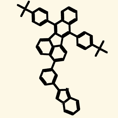 C[Si](C)(C)c1ccc(-c2c3c(c(-c4ccc([Si](C)(C)C)cc4)c4ccccc24)-c2ccc(-c4cccc(-c5cn6ccccc6n5)c4)c4cccc-3c24)cc1